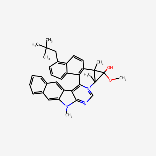 COC1(O)C2(C)c3ccc4c(CC(C)(C)C)cccc4c3-c3c4c5cc6ccccc6cc5n(C)c4nc[n+]3C12C